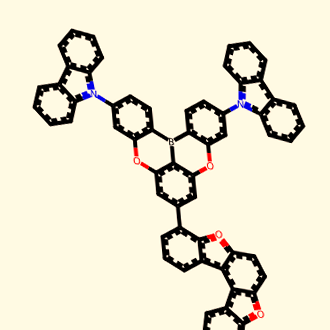 c1ccc2c(c1)oc1ccc3oc4c(-c5cc6c7c(c5)Oc5cc(-n8c9ccccc9c9ccccc98)ccc5B7c5ccc(-n7c8ccccc8c8ccccc87)cc5O6)cccc4c3c12